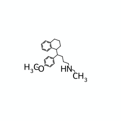 CCNCCCC(c1ccc(OC)cc1)C1CCCc2ccccc21